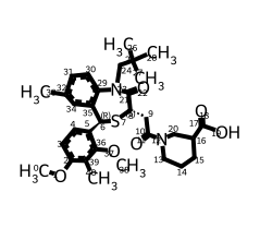 COc1ccc([C@@H]2S[C@@H](CC(=O)N3CCCC(C(=O)O)C3)C(=O)N(CC(C)(C)C)c3ccc(C)cc32)c(OC)c1C